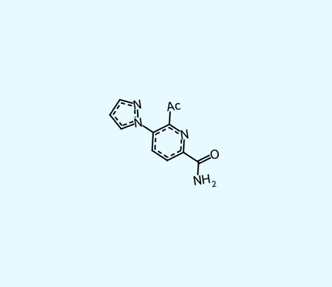 CC(=O)c1nc(C(N)=O)ccc1-n1cccn1